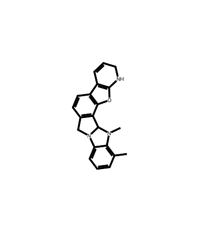 Cc1cccc2c1N(C)C1c3c(ccc4c5c(oc34)NCC=C5)CN21